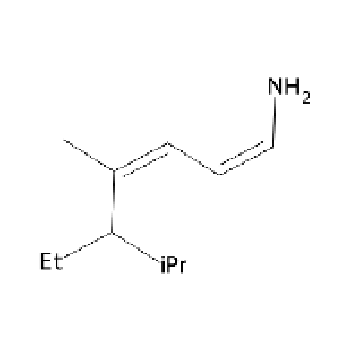 CCC(/C(C)=C\C=C/N)C(C)C